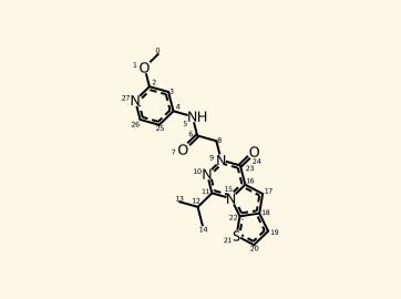 COc1cc(NC(=O)Cn2nc(C(C)C)n3c(cc4ccsc43)c2=O)ccn1